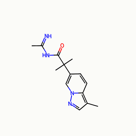 CC(=N)NC(=O)C(C)(C)c1ccc2c(C)cnn2c1